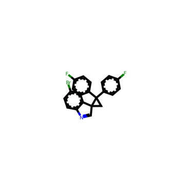 Fc1ccc(C2(c3ccc(F)cc3)CC23C=Nc2ccc(Br)cc23)cc1